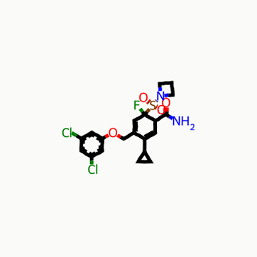 NC(=O)C1C=C(C2CC2)C(COc2cc(Cl)cc(Cl)c2)=CC1(F)S(=O)(=O)N1CCC1